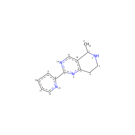 CC1NCCc2nc(-c3ccccn3)ncc21